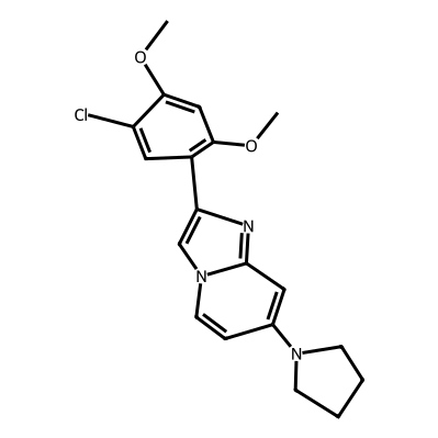 COc1cc(OC)c(-c2cn3ccc(N4CCCC4)cc3n2)cc1Cl